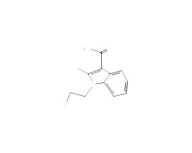 CC(C)C(=O)c1c(Cl)n(CCF)c2ccccc12